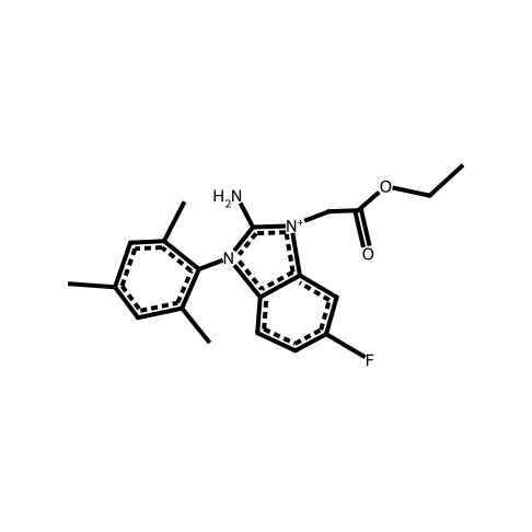 CCOC(=O)C[n+]1c(N)n(-c2c(C)cc(C)cc2C)c2ccc(F)cc21